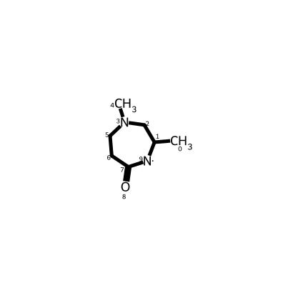 CC1CN(C)CCC(=O)[N]1